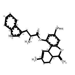 C=C1Oc2cc(CCCCC)cc(OC(=O)[C@@H](N)Cc3c[nH]c4ccccc34)c2C2C=C(C)CCC12